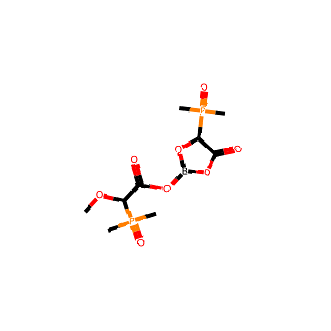 COC(C(=O)OB1OC(=O)C(P(C)(C)=O)O1)P(C)(C)=O